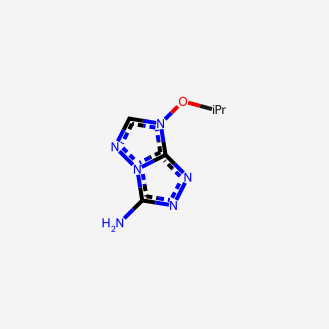 CC(C)On1cnn2c(N)nnc12